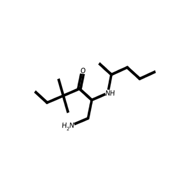 CCCC(C)NC(CN)C(=O)C(C)(C)CC